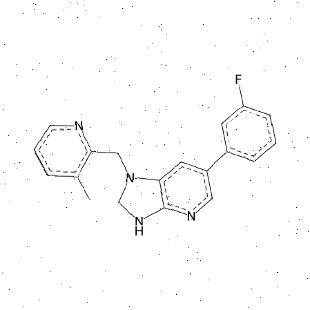 Cc1cccnc1CN1CNc2ncc(-c3cccc(F)c3)cc21